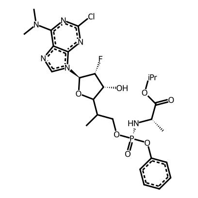 CC(C)OC(=O)[C@H](C)N[P@](=O)(OCC(C)C1O[C@@H](n2cnc3c(N(C)C)nc(Cl)nc32)[C@H](F)[C@@H]1O)Oc1ccccc1